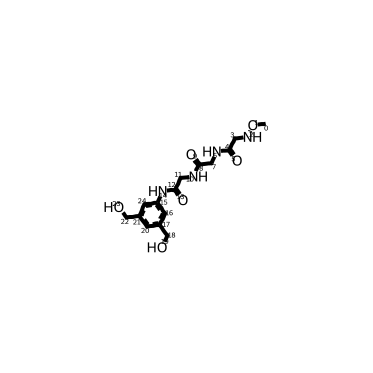 CONCC(=O)NCC(=O)NCC(=O)Nc1cc(CO)cc(CO)c1